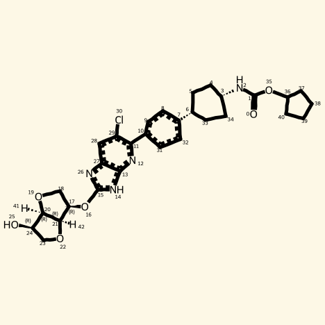 O=C(N[C@H]1CC[C@@H](c2ccc(-c3nc4[nH]c(O[C@@H]5CO[C@H]6[C@@H]5OC[C@H]6O)nc4cc3Cl)cc2)CC1)OC1CCCC1